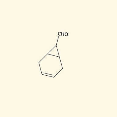 O=CC1C2CC=CCC12